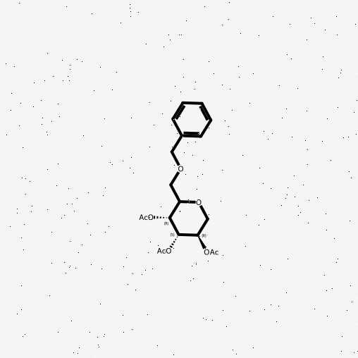 CC(=O)O[C@@H]1[C@H](OC(C)=O)C(COCc2ccccc2)OC[C@H]1OC(C)=O